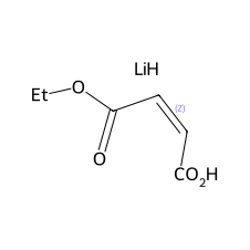 CCOC(=O)/C=C\C(=O)O.[LiH]